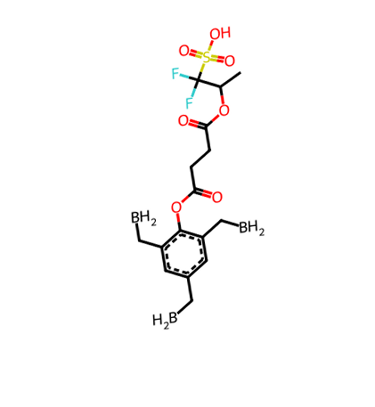 BCc1cc(CB)c(OC(=O)CCC(=O)OC(C)C(F)(F)S(=O)(=O)O)c(CB)c1